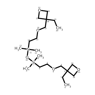 CCC1(COCC[Si](C)(C)O[Si](C)(C)CCOCC2(CC)COC2)COC1